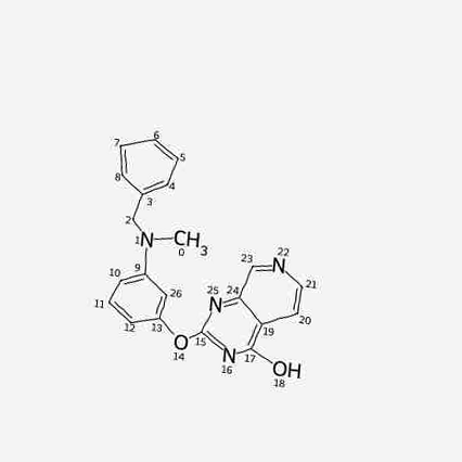 CN(Cc1ccccc1)c1cccc(Oc2nc(O)c3ccncc3n2)c1